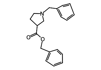 O=C(OCc1ccccc1)C1CCN(Cc2ccccc2)C1